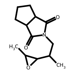 CC(CN1C(=O)C2CCCC2C1=O)C1OC1C